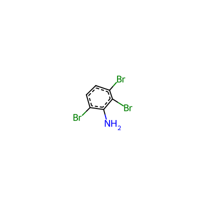 Nc1c(Br)ccc(Br)c1Br